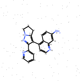 Nc1ccc2c(-c3c(-c4ccccn4)nn4c3CCC4)ccnc2c1